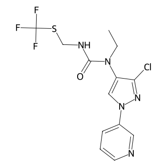 CCN(C(=O)NCSC(F)(F)F)c1cn(-c2cccnc2)nc1Cl